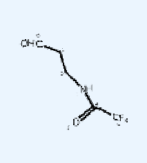 O=[C]CCNC(=O)C(F)(F)F